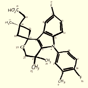 Cc1cc(-n2c3c(c4cc(F)ccc42)[C@]2(C[C@](C)(CC(=O)O)C2)OCC3(C)C)ccc1F